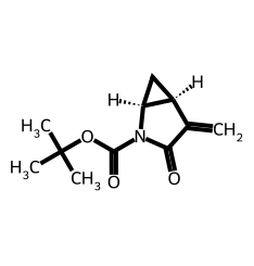 C=C1C(=O)N(C(=O)OC(C)(C)C)[C@H]2C[C@@H]12